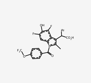 Cc1c(C(C(=O)O)C(C)C)c2c(F)c(O)c(F)cc2n1C(=O)c1ccc(OC(F)(F)F)cc1